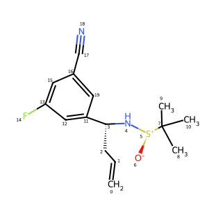 C=CC[C@@H](N[S@+]([O-])C(C)(C)C)c1cc(F)cc(C#N)c1